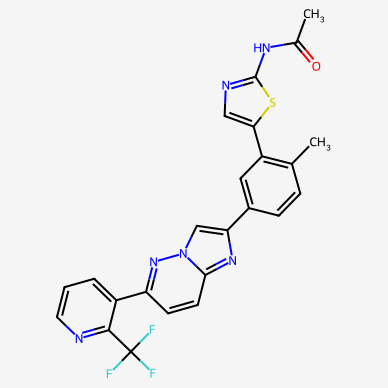 CC(=O)Nc1ncc(-c2cc(-c3cn4nc(-c5cccnc5C(F)(F)F)ccc4n3)ccc2C)s1